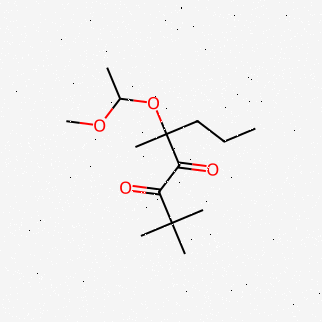 CCCC(C)(OC(C)OC)C(=O)C(=O)C(C)(C)C